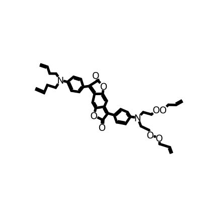 C=CCCN(CCC=C)c1ccc(C2=c3cc4c(cc3OC2=O)=C(c2ccc(N(CCOOCC=C)CCOOCC=C)cc2)C(=O)O4)cc1